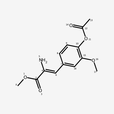 COC(=O)C(N)=Cc1ccc(OC(C)=O)c(OC)c1